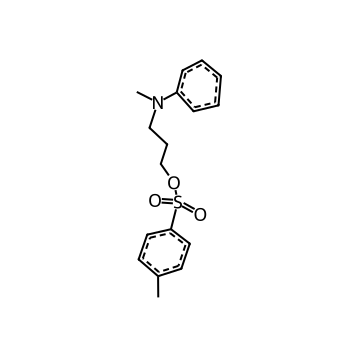 Cc1ccc(S(=O)(=O)OCCCN(C)c2ccccc2)cc1